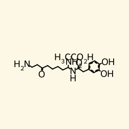 CC(=O)O.NCCC(=O)CCCCC(N)NC(=O)Cc1ccc(O)c(O)c1